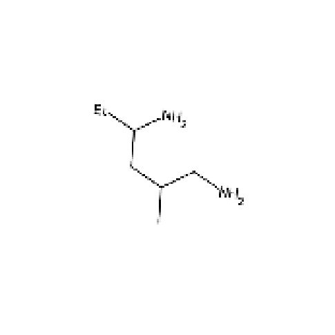 CCC(N)CC(C)CN